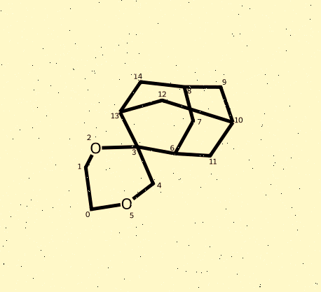 C1COC2(CO1)C1CC3CC(C1)CC2C3